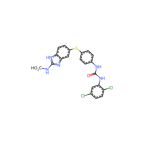 O=C(O)Nc1nc2cc(Sc3ccc(NC(=O)Nc4cc(Cl)ccc4Cl)cc3)ccc2[nH]1